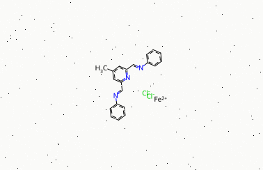 Cc1cc(C=Nc2ccccc2)nc(C=Nc2ccccc2)c1.[Cl-].[Cl-].[Fe+2]